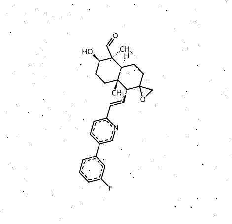 C[C@@]1(C=O)[C@H](O)CC[C@@]2(C)[C@H](/C=C/c3ccc(-c4cccc(F)c4)cn3)C3(CC[C@H]12)CO3